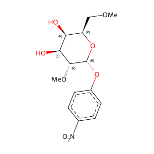 COC[C@H]1O[C@H](Oc2ccc([N+](=O)[O-])cc2)[C@H](OC)[C@@H](O)[C@H]1O